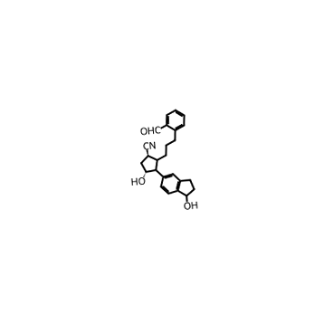 N#C[C@@H]1C[C@@H](O)C(c2ccc3c(c2)CCC3O)C1CCCc1ccccc1C=O